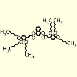 CCCCCCOc1ccc(/C=C/C(=O)Oc2ccc(OC(=O)/C=C/c3ccc(OCCCCCC)c(OCCCCCC)c3OCCCCCC)c3ccccc23)c(OCCCCCC)c1OCCCCCC